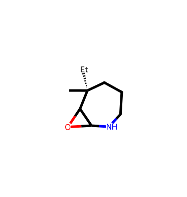 CC[C@]1(C)CCCNC2OC21